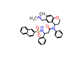 CN(C)Cc1ccc2c(c1)C(N(C(=O)CC(NS(=O)(=O)c1ccc3ccccc3c1)c1ccccc1)c1ccccc1)CCO2